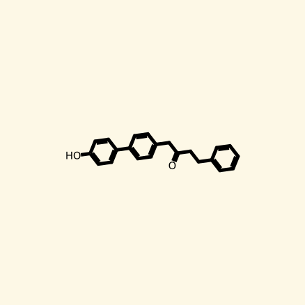 O=C(CCc1ccccc1)Cc1ccc(-c2ccc(O)cc2)cc1